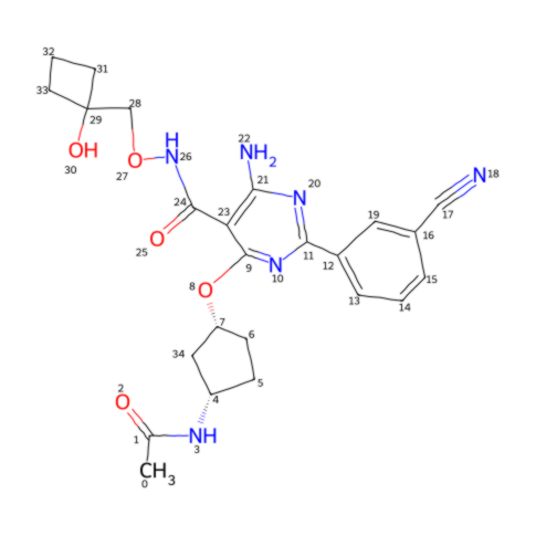 CC(=O)N[C@H]1CC[C@@H](Oc2nc(-c3cccc(C#N)c3)nc(N)c2C(=O)NOCC2(O)CCC2)C1